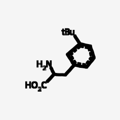 CC(C)(C)c1cccc(CC(N)C(=O)O)c1